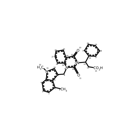 Cc1cccc2c1c(Cn1c(=O)n(C(CC(=O)O)c3ccccc3)c(=O)c3ccccc31)cn2C